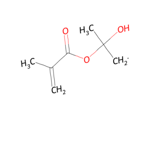 [CH2]C(C)(O)OC(=O)C(=C)C